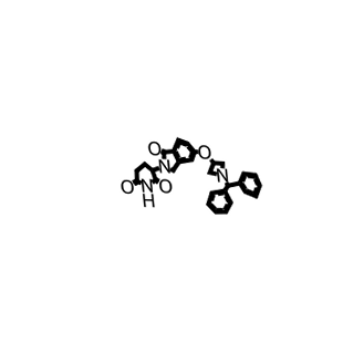 O=C1CCC(N2Cc3cc(OC4CN(C(c5ccccc5)c5ccccc5)C4)ccc3C2=O)C(=O)N1